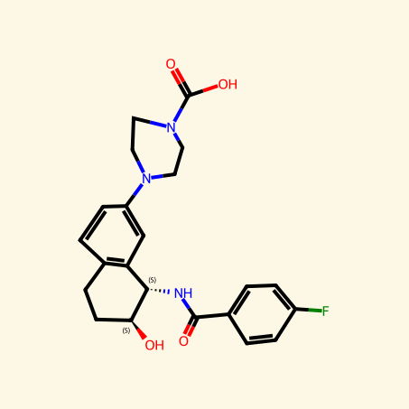 O=C(N[C@H]1c2cc(N3CCN(C(=O)O)CC3)ccc2CC[C@@H]1O)c1ccc(F)cc1